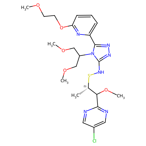 COCCOc1cccc(-c2nnc(NS[C@@H](C)C(OC)c3ncc(Cl)cn3)n2C(COC)COC)n1